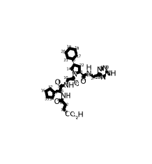 O=C(O)CCC(=O)N[C@H](C(=O)NCC(=O)N1C[C@H](C2CCCCC2)C[C@H]1C(=O)NCc1nn[nH]n1)C1CCCC1